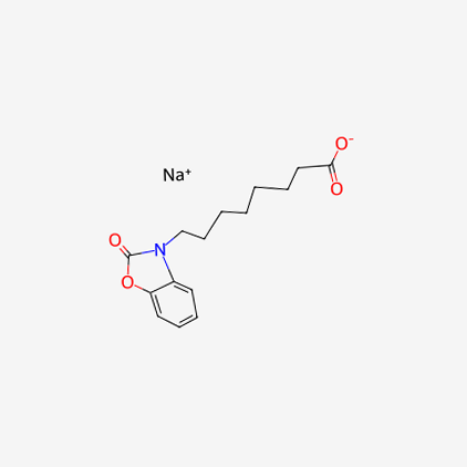 O=C([O-])CCCCCCCn1c(=O)oc2ccccc21.[Na+]